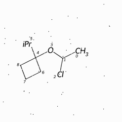 C[C](Cl)OC1(C(C)C)CCC1